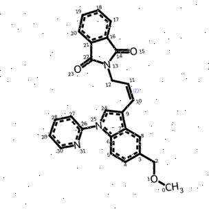 COCc1ccc2c(c1)c(/C=C\CN1C(=O)c3ccccc3C1=O)cn2-c1ccccn1